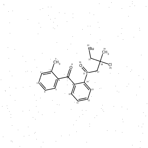 Cc1ccccc1C(=O)c1ccccc1[P](=O)CC(C)(Cl)CC(C)(C)C